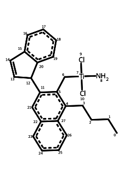 CCCCc1c([CH2][Ti]([NH2])([Cl])[Cl])c(C2C=Cc3ccccc32)cc2ccccc12